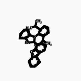 CC(C)c1cccc(C(C)C)c1N1c2ccccc2NC1c1cccc2c1oc1ccccc12